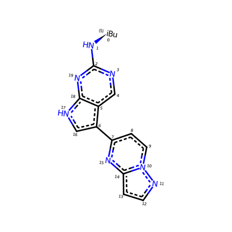 CC[C@H](C)Nc1ncc2c(-c3ccn4nccc4n3)c[nH]c2n1